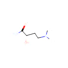 CN(C)C[CH][C@H](O)C(N)=O